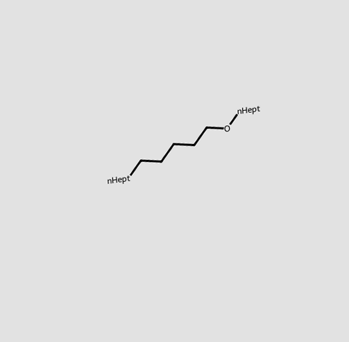 [CH2]CCCCCCOCCCCCCCCCCCC